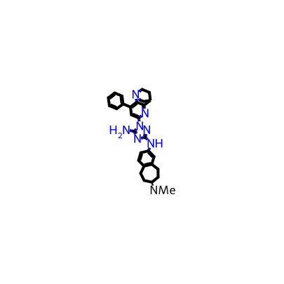 CN[C@H]1CCc2ccc(Nc3nc(N)n(-c4cc(-c5ccccc5)c5c(n4)C4CCN5CC4)n3)cc2CC1